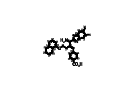 Cc1cc2nc(C(N)/C(=C/c3ccc(C(=O)O)cc3)CCOc3cccc4ccccc34)sc2cc1C